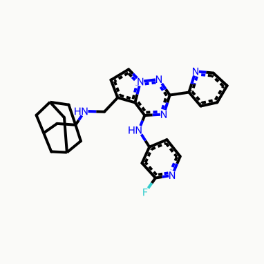 Fc1cc(Nc2nc(-c3ccccn3)nn3ccc(CNC45CC6CC(CC(C6)C4)C5)c23)ccn1